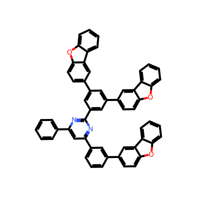 c1ccc(-c2cc(-c3cccc(-c4ccc5oc6ccccc6c5c4)c3)nc(-c3cc(-c4ccc5oc6ccccc6c5c4)cc(-c4ccc5oc6ccccc6c5c4)c3)n2)cc1